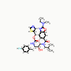 CCN(C)c1nc2ccc(C(=O)N(CC(C)C)C[C@@H](O)[C@H](Cc3ccc(F)cc3)NC(=O)OCc3cncs3)cc2o1